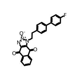 O=C1c2ccccc2C(=O)c2c1n[n+]([O-])n2CCc1ccc(-c2ccc(F)cc2)cc1